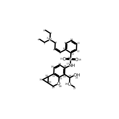 CCN(CC)C/C=C\c1ccccc1S(=O)(=O)Nc1ccc2c(c1C(O)OC)OCC1CC21